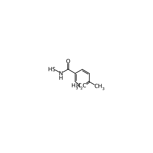 C=C(C)/C=C\C(=C/C)C(=O)NS